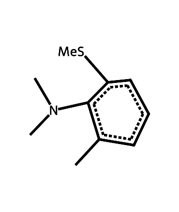 CSc1cccc(C)c1N(C)C